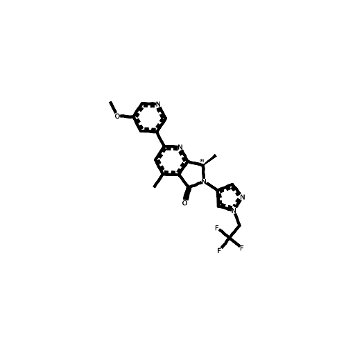 COc1cncc(-c2cc(C)c3c(n2)[C@@H](C)N(c2cnn(CC(F)(F)F)c2)C3=O)c1